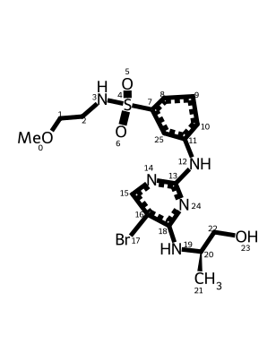 COCCNS(=O)(=O)c1cccc(Nc2ncc(Br)c(N[C@H](C)CO)n2)c1